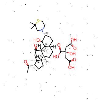 CC(=O)[C@H]1CC[C@H]2[C@@H]3CC[C@H]4CC[C@@H](N5CCSC(C)(C)C5)C(O)[C@]4(C)[C@H]3C(=O)C[C@]12C.O=C(O)CC(O)(CC(=O)O)C(=O)O